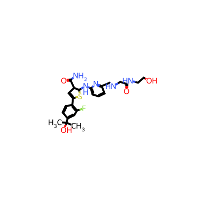 CC(C)(O)c1ccc(C2=CC(C(N)=O)C(Nc3cccc(CNCC(=O)NCCO)n3)S2)c(F)c1